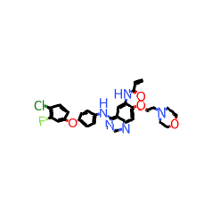 C=CC(=O)Nc1cc2c(Nc3ccc(Oc4ccc(Cl)c(F)c4)cc3)ncnc2cc1OCCN1CCOCC1